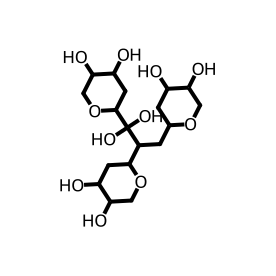 OC1COC(CC(C2CC(O)C(O)CO2)C(O)(O)C2CC(O)C(O)CO2)CC1O